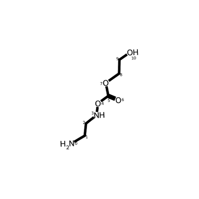 NCCNOC(=O)OCCO